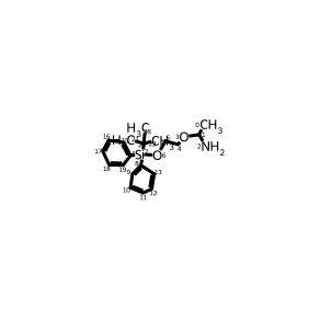 CC(N)OCCO[Si](c1ccccc1)(c1ccccc1)C(C)(C)C